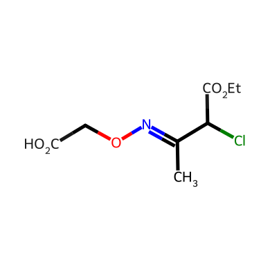 CCOC(=O)C(Cl)C(C)=NOCC(=O)O